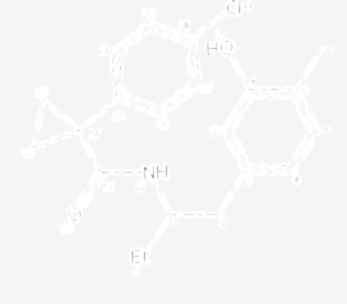 CCC(Cc1ccc(C)c(O)c1)NC(=O)C1(c2ccc(Cl)cc2)CC1